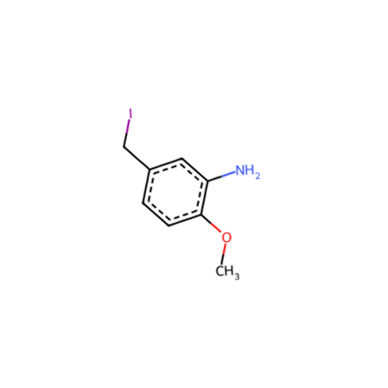 COc1ccc(CI)cc1N